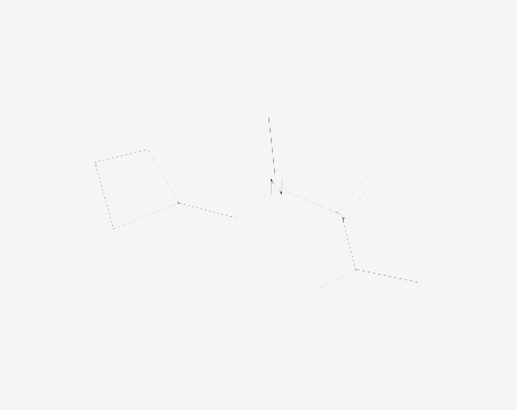 C=C(C(C)C)N(C)CC1CCC1